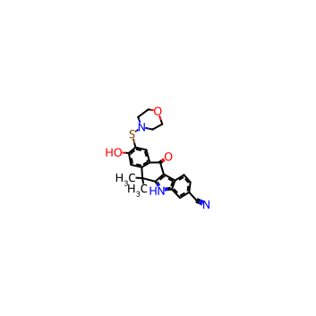 CC1(C)c2cc(O)c(SN3CCOCC3)cc2C(=O)c2c1[nH]c1cc(C#N)ccc21